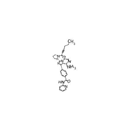 CCCC#CC(=O)N1CCC[C@H]1c1nc(-c2ccc(C(=O)Nc3ccccn3)cc2)c2c(N)nccn12